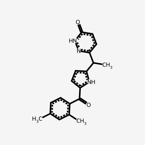 Cc1ccc(C(=O)c2ccc(C(C)c3ccc(=O)[nH]n3)[nH]2)c(C)c1